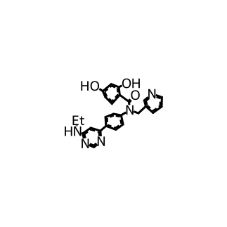 CCNc1cc(-c2ccc(N(Cc3cccnc3)C(=O)c3ccc(O)cc3O)cc2)ncn1